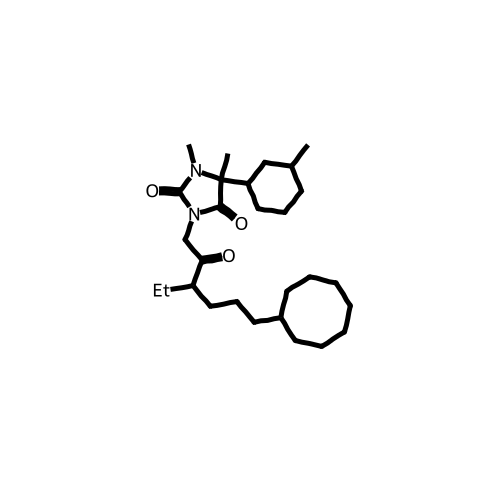 CCC(CCCC1CCCCCCC1)C(=O)CN1C(=O)N(C)C(C)(C2CCCC(C)C2)C1=O